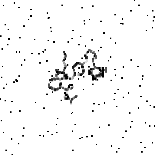 CCCCc1nc2cccc(C(=O)OC(C)C)c2n1Cc1ccc(-c2ccccc2-c2nnn[nH]2)cc1